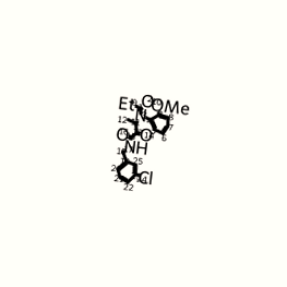 CCC(=O)N(c1ccccc1OC)C(C)C(=O)C(=O)NCc1cccc(Cl)c1